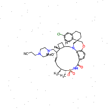 CO[C@@]1(CN2CCN(CCC#N)CC2)/C=C/C[C@H](C)[C@@H](C)S(=O)(=O)NC(=O)c2ccc3c(c2)N(C[C@@H]2CC[C@H]21)C[C@@]1(CCCc2cc(Cl)ccc21)CO3